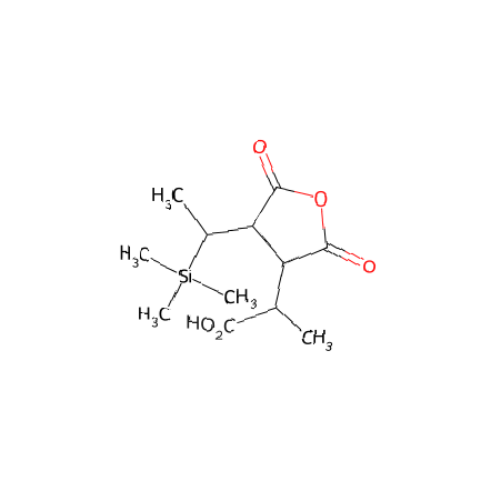 CC(C(=O)O)C1C(=O)OC(=O)C1C(C)[Si](C)(C)C